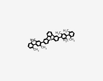 Cc1cc(-c2c(C)cccc2C)c(C)cc1-c1ccc2c(c1)c1cccc3c4cc(-c5cc(C)c(-c6c(C)cccc6C)cc5C)ccc4n2c13